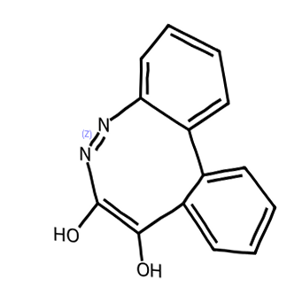 OC1=C(O)c2ccccc2-c2ccccc2/N=N\1